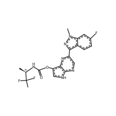 C[C@@H](NC(=O)Oc1c[nH]c2ncc(-c3nn(C)c4cc(F)ccc34)nc12)C(C)(F)F